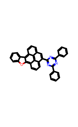 c1ccc(-c2nc(-c3ccccc3)nc(-c3cc4cccc5c6c7ccccc7oc6c6cccc3c6c45)n2)cc1